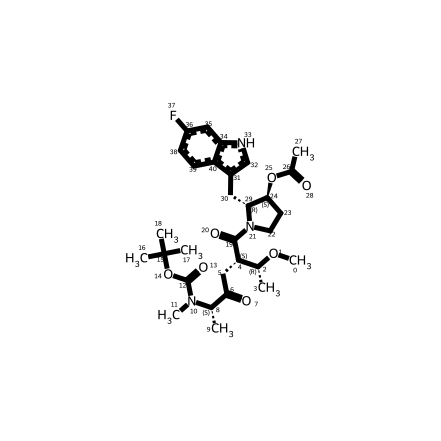 CO[C@H](C)[C@H](CC(=O)[C@H](C)N(C)C(=O)OC(C)(C)C)C(=O)N1CC[C@H](OC(C)=O)[C@H]1Cc1c[nH]c2cc(F)ccc12